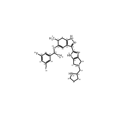 CC1Cc2[nH]nc(-c3nc4c([nH]3)CN(CC3CCCN3)C4)c2C=C1OC(C)c1cc(F)cc(F)c1